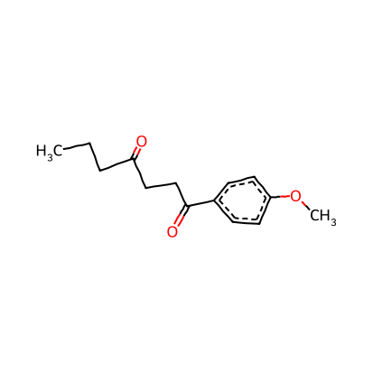 CCCC(=O)CCC(=O)c1ccc(OC)cc1